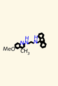 COc1ccc2nc(NCCCNCC34CC(c5ccccc53)c3ccccc34)cc(C)c2c1